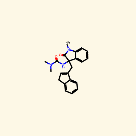 CCCN1C(=O)C(CC2=CCc3ccccc32)(NC(=O)N(C)C)c2ccccc21